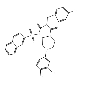 COc1ccc(CC(C(=O)NS(=O)(=O)c2ccc3ccccc3c2)C(=O)N2CCN(c3ccc(C#N)c(C#N)c3)CC2)cc1